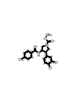 CC(C)(C)OC(=O)N1CC(NC(=O)c2ccc(Cl)cc2)C(c2ccc(Cl)c(Cl)c2)C1